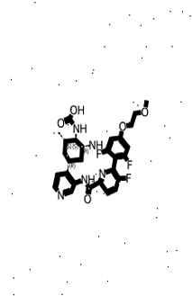 COCCOc1cc(F)c(-c2nc(C(=O)Nc3cnccc3[C@H]3C[C@@H](N)[C@@H](NC(=O)O)[C@@H](C)C3)ccc2F)c(F)c1